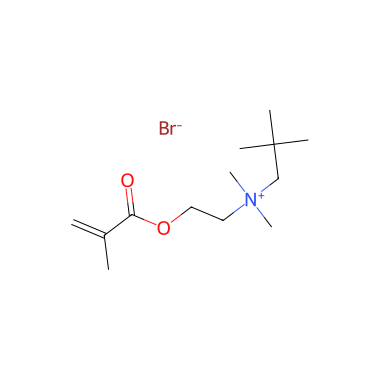 C=C(C)C(=O)OCC[N+](C)(C)CC(C)(C)C.[Br-]